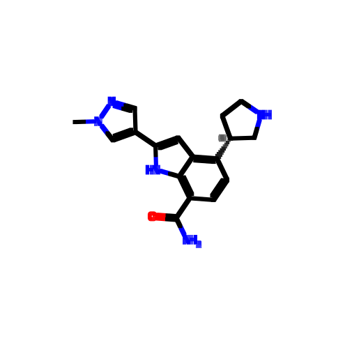 Cn1cc(-c2cc3c([C@@H]4CCNC4)ccc(C(N)=O)c3[nH]2)cn1